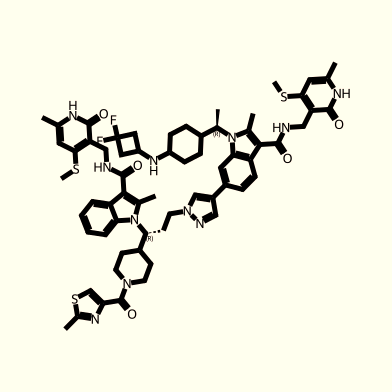 CSc1cc(C)[nH]c(=O)c1CNC(=O)c1c(C)n([C@H](C)C2CCC(NC3CC(F)(F)C3)CC2)c2cc(-c3cnn(CC[C@H](C4CCN(C(=O)c5csc(C)n5)CC4)n4c(C)c(C(=O)NCc5c(SC)cc(C)[nH]c5=O)c5ccccc54)c3)ccc12